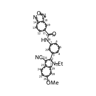 CCn1c(-c2cccc(NC(=O)c3ccc4nonc4c3)c2)c(C#N)c2ccc(OC)cc21